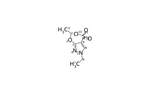 CCOc1nn(CC)cc1S(=O)(=O)Cl